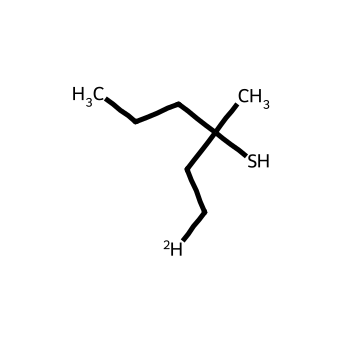 [2H]CCC(C)(S)CCC